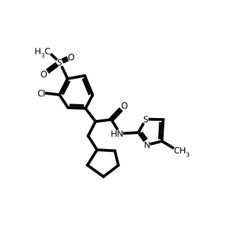 Cc1csc(NC(=O)C(CC2CCCC2)c2ccc(S(C)(=O)=O)c(Cl)c2)n1